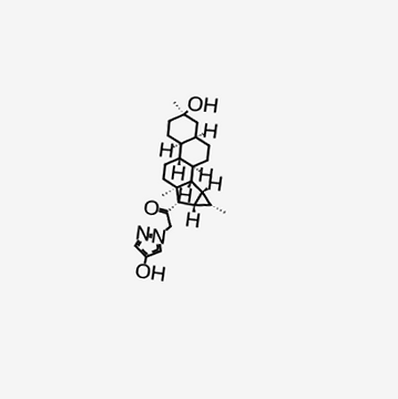 C[C@H]1[C@@H]2[C@H]1[C@H](C(=O)Cn1cc(O)cn1)[C@@]1(C)CC[C@H]3[C@@H](CC[C@@H]4C[C@](C)(O)CC[C@@H]43)[C@H]21